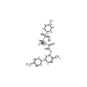 O=C(NCc1cc(-c2cnc(C(F)(F)F)nc2)cnc1C(F)(F)F)[C@@H]1C2CC(C2)N1S(=O)(=O)c1ccc(F)cc1